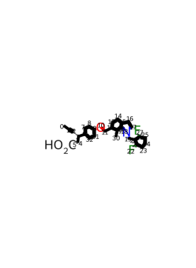 CC#C[C@@H](CC(=O)O)c1ccc(OCc2ccc3ccn(Cc4c(F)cccc4F)c3c2C)cc1